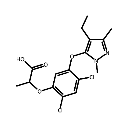 CCc1c(C)nn(C)c1Oc1cc(OC(C)C(=O)O)c(Cl)cc1Cl